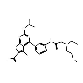 CCN(CCOC)CC(=O)Nc1cccc(-c2nc(NC(C)C)nc3sc(C(N)=O)c(N)c23)c1